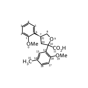 COc1ccccc1[C@H]1COC(C(=O)O)(c2cc(C)ccc2OC)C1